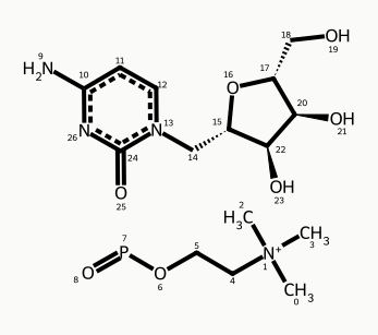 C[N+](C)(C)CCOP=O.Nc1ccn(C[C@@H]2O[C@H](CO)[C@@H](O)[C@H]2O)c(=O)n1